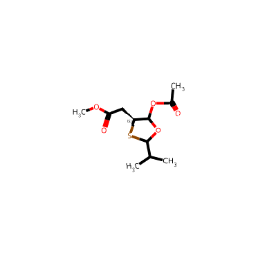 COC(=O)C[C@@H]1SC(C(C)C)OC1OC(C)=O